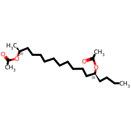 CCCC[C@@H](CCCCCCCCCC[C@H](C)OC(C)=O)OC(C)=O